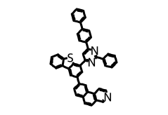 c1ccc(-c2ccc(-c3cc(-c4cc(-c5ccc6ccc7cnccc7c6c5)cc5c4sc4ccccc45)nc(-c4ccccc4)n3)cc2)cc1